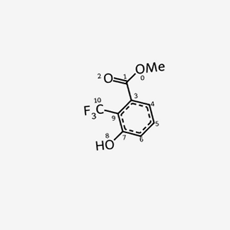 COC(=O)c1cccc(O)c1C(F)(F)F